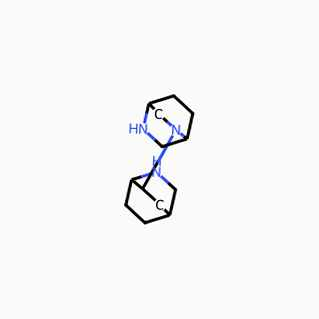 C1CC2NCC1CC2N1CC2CCC1CN2